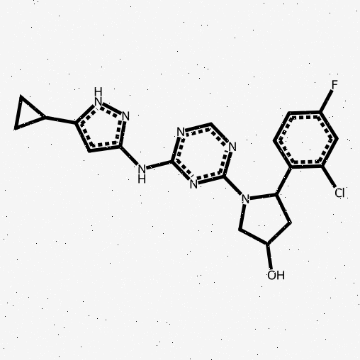 OC1CC(c2ccc(F)cc2Cl)N(c2ncnc(Nc3cc(C4CC4)[nH]n3)n2)C1